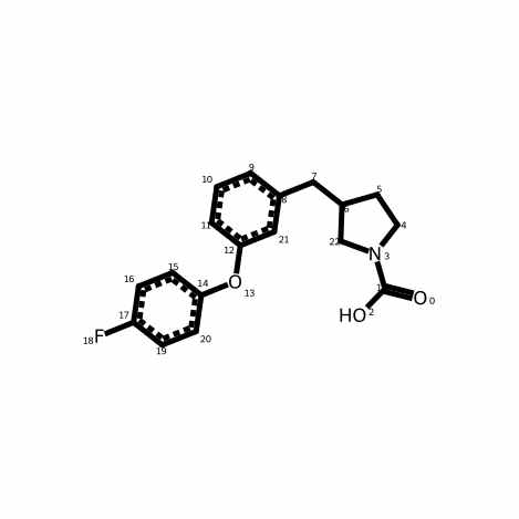 O=C(O)N1CCC(Cc2cccc(Oc3ccc(F)cc3)c2)C1